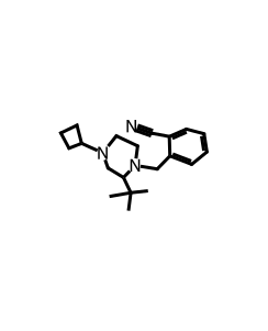 CC(C)(C)C1CN(C2CCC2)CCN1Cc1ccccc1C#N